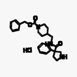 Cl.O=C(OCc1ccccc1)N1CCC(CNC(=O)C2(c3ccccc3)CCNC2)CC1